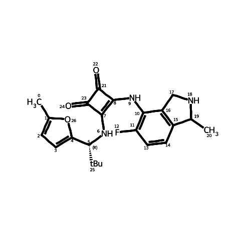 Cc1ccc([C@H](Nc2c(Nc3c(F)ccc4c3CNC4C)c(=O)c2=O)C(C)(C)C)o1